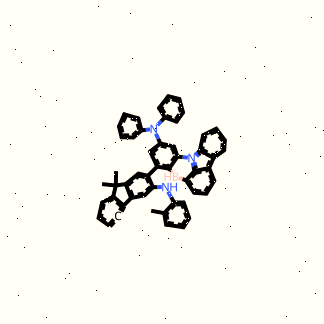 Cc1ccccc1Nc1cc2c(cc1-c1cc(N(c3ccccc3)c3ccccc3)cc3c1Bc1cccc4c5ccccc5n-3c14)C(C)(C)c1ccccc1-2